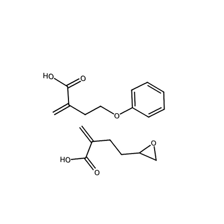 C=C(CCC1CO1)C(=O)O.C=C(CCOc1ccccc1)C(=O)O